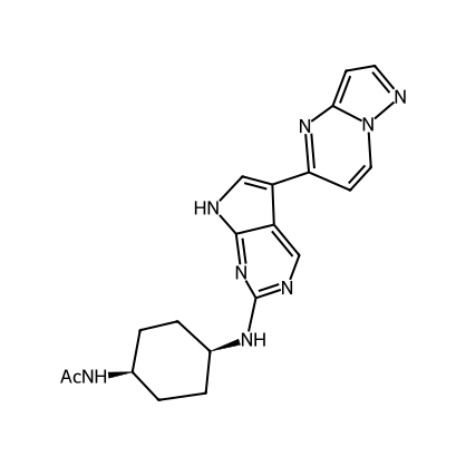 CC(=O)N[C@H]1CC[C@@H](Nc2ncc3c(-c4ccn5nccc5n4)c[nH]c3n2)CC1